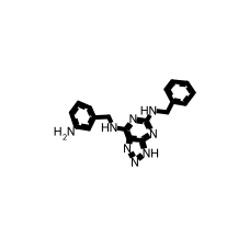 Nc1cccc(CNc2nc(NCc3ccccc3)nc3[nH]nnc23)c1